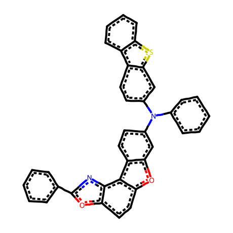 c1ccc(-c2nc3c(ccc4oc5cc(N(c6ccccc6)c6ccc7c(c6)sc6ccccc67)ccc5c43)o2)cc1